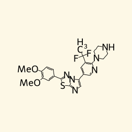 COc1ccc(-c2nn3c(-c4cnc(N5CCNCC5)c(C(C)(F)F)c4)cnc3s2)cc1OC